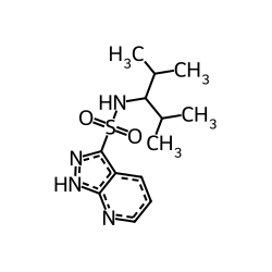 CC(C)C(NS(=O)(=O)c1n[nH]c2ncccc12)C(C)C